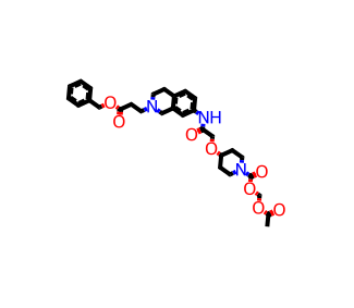 CC(=O)OCOC(=O)N1CCC(OCC(=O)Nc2ccc3c(c2)CN(CCC(=O)OCc2ccccc2)CC3)CC1